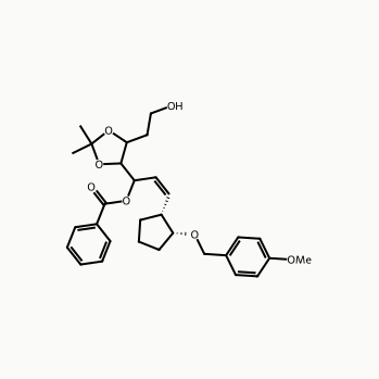 COc1ccc(CO[C@@H]2CCC[C@@H]2/C=C\C(OC(=O)c2ccccc2)C2OC(C)(C)OC2CCO)cc1